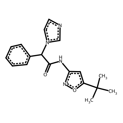 CC(C)(C)c1cc(NC(=O)C(c2ccccc2)n2ccnc2)no1